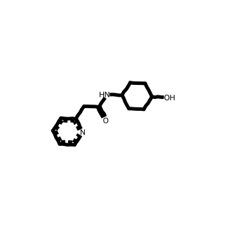 O=C(Cc1ccccn1)NC1CCC(O)CC1